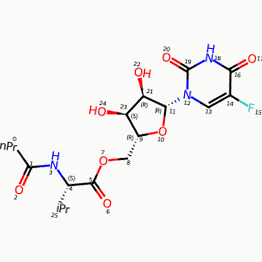 CCCC(=O)N[C@H](C(=O)OC[C@H]1O[C@@H](n2cc(F)c(=O)[nH]c2=O)[C@H](O)[C@@H]1O)C(C)C